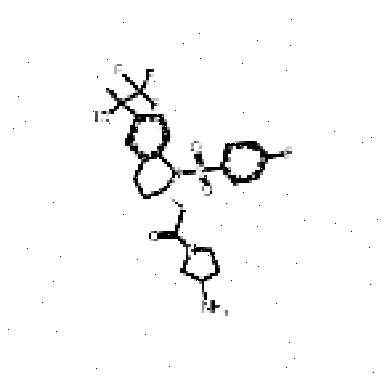 CC(O)(c1ccc2c(c1)CC[C@@H](CC(=O)N1CC[C@@H](N)C1)N2S(=O)(=O)c1ccc(F)cc1)C(F)(F)F